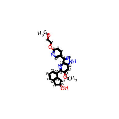 COCCOc1ccc(-c2n[nH]c3cc(OC)c(-c4cccc5c4CC(O)C5)nc23)cn1